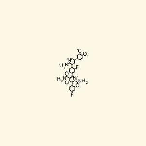 COc1ccc(-c2cnc(N)c(-c3ccc(-c4c(C(N)=O)c(=O)c(-c5ccc(F)cc5)c(C(N)=O)n4C)cc3F)c2)cc1OC